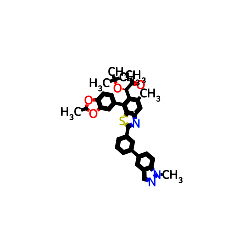 CC(=O)[C@@H](OC(C)(C)C)c1c(C)cc2nc(-c3cccc(-c4ccc5c(cnn5C)c4)c3)sc2c1-c1ccc2c(c1)OC(C)O2